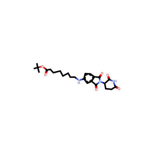 CC(C)(C)OC(=O)CCCCCCCNc1ccc2c(c1)C(=O)N(C1CCC(=O)NC1=O)C2=O